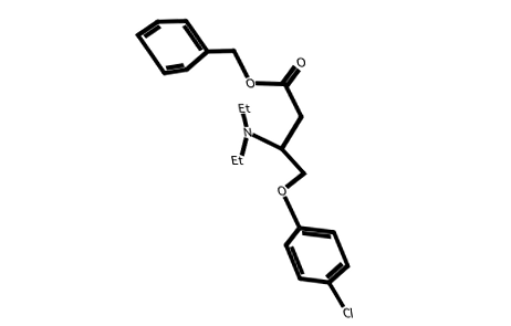 CCN(CC)C(COc1ccc(Cl)cc1)CC(=O)OCc1ccccc1